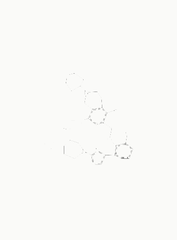 CCO[C@@H]1CN(c2nc(-c3cccc(C)c3OCc3cc(C)c4c(c3F)CCN(C3CCOCC3)C4)cs2)CC[C@@H]1C(=O)O